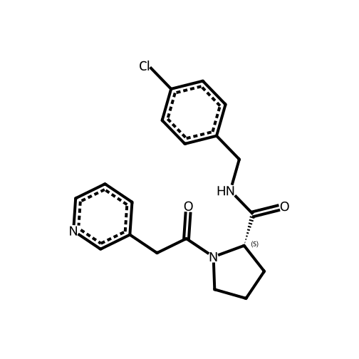 O=C(NCc1ccc(Cl)cc1)[C@@H]1CCCN1C(=O)Cc1cccnc1